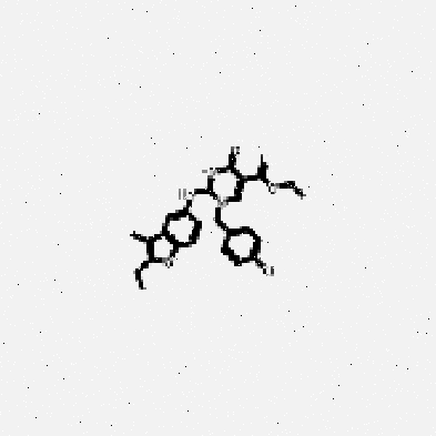 CCOC(=O)C1=CN(Cc2ccc(Cl)cc2)C(Nc2ccc3oc(CC)c(C)c3c2)NC1=O